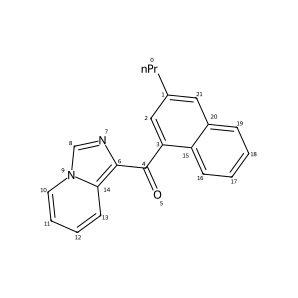 CCCc1cc(C(=O)c2ncn3ccccc23)c2ccccc2c1